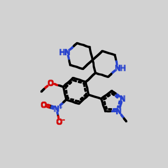 COc1cc(C2CNCCC23CCNCC3)c(-c2cnn(C)c2)cc1[N+](=O)[O-]